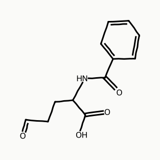 O=CCCC(NC(=O)c1ccccc1)C(=O)O